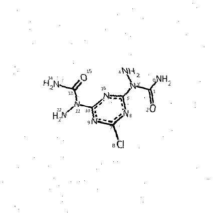 NC(=O)N(N)c1nc(Cl)nc(N(N)C(N)=O)n1